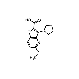 CSc1ncc2oc(C(=O)O)c(C3CCCC3)c2n1